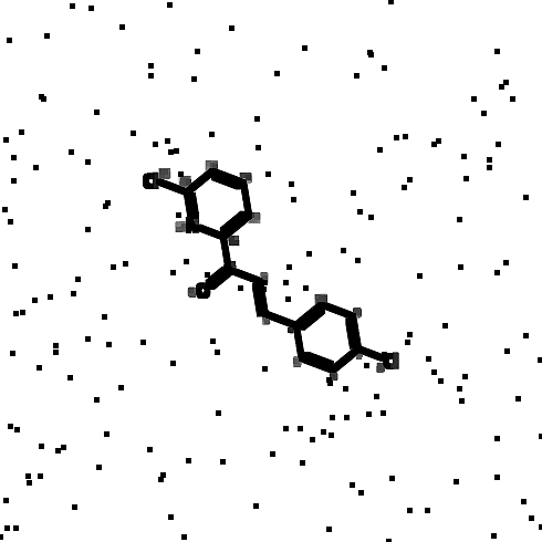 O=C(C=Cc1ccc(Cl)cc1)c1cccc(Cl)n1